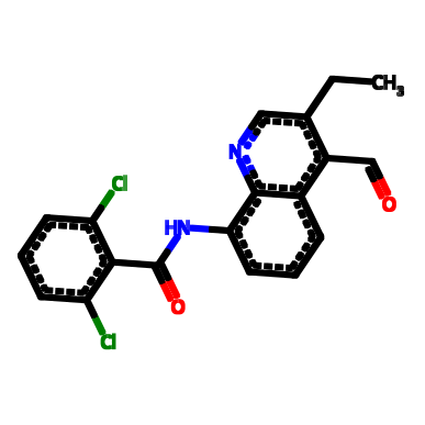 CCc1cnc2c(NC(=O)c3c(Cl)cccc3Cl)cccc2c1C=O